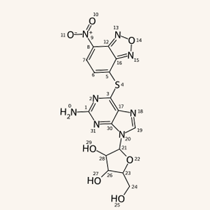 Nc1nc(Sc2ccc([N+](=O)[O-])c3nonc23)c2ncn(C3OC(CO)C(O)C3O)c2n1